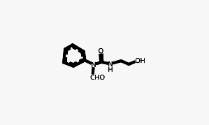 O=CN(C(=O)NCCO)c1ccccc1